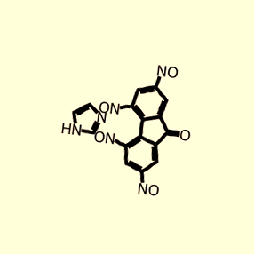 O=Nc1cc(N=O)c2c(c1)C(=O)c1cc(N=O)cc(N=O)c1-2.c1c[nH]cn1